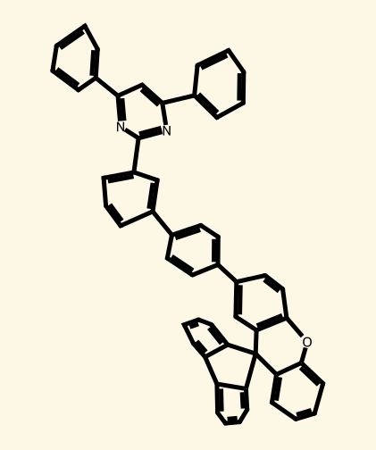 c1ccc(-c2cc(-c3ccccc3)nc(-c3cccc(-c4ccc(-c5ccc6c(c5)C5(c7ccccc7O6)c6ccccc6-c6ccccc65)cc4)c3)n2)cc1